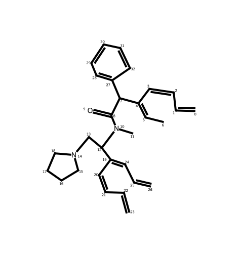 C=C/C=C\C(=C/C)C(C(=O)N(C)C(CN1CCCC1)C(/C=C\C=C)=C/C=C)c1ccccc1